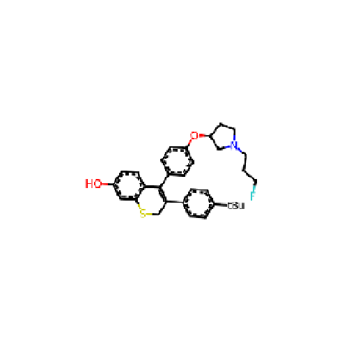 CC(C)(C)c1ccc(C2=C(c3ccc(O[C@H]4CCN(CCCF)C4)cc3)c3ccc(O)cc3SC2)cc1